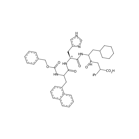 CC(C)C(C[PH](=O)C(CC1CCCCC1)NC(=O)[C@H](Cc1c[nH]cn1)NC(=O)C(Cc1cccc2ccccc12)NC(=O)OCc1ccccc1)C(=O)O